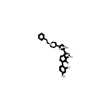 CCc1cc(O)ccc1-c1ccc2c(-c3nc(C4=CCN(CCc5ccccc5)CC4)c[nH]3)n[nH]c2c1F